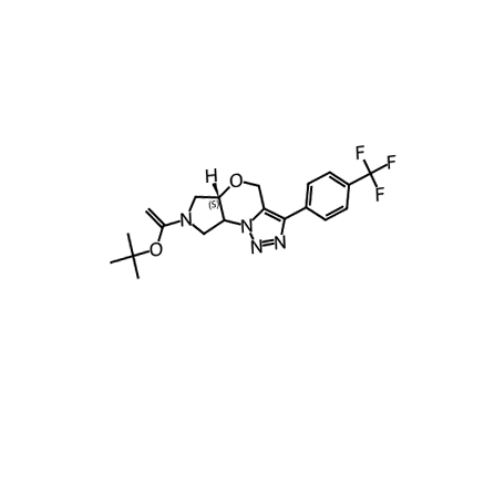 C=C(OC(C)(C)C)N1CC2[C@H](C1)OCc1c(-c3ccc(C(F)(F)F)cc3)nnn12